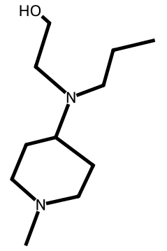 CCCN(CCO)C1CCN(C)CC1